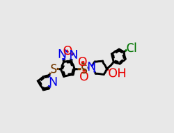 O=S(=O)(c1ccc(Sc2ccccn2)c2nonc12)N1CCC(O)(c2ccc(Cl)cc2)CC1